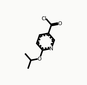 CC(C)Oc1ccc(C(=O)Cl)cn1